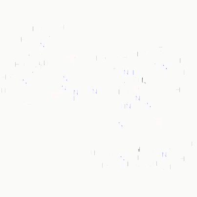 CN1C(C)(C)CC(OC2=NN(OC3CC(C)(C)N(C)C(C)(C)C3)NC(N(CCCN(C3=CC(OC4CC(C)(C)N(C)C(C)(C)C4)=NN(OC4CC(C)(C)N(C)C(C)(C)C4)N3)C3CC(C)(C)NC(C)(C)C3)C3CC(C)(C)NC(C)(C)C3)=C2)CC1(C)C